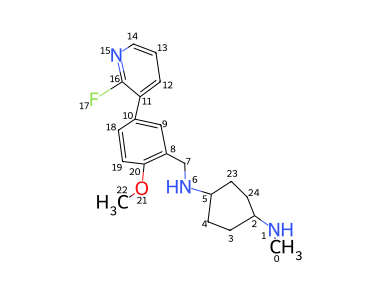 CNC1CCC(NCc2cc(-c3cccnc3F)ccc2OC)CC1